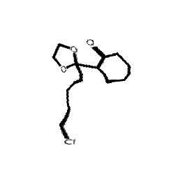 O=C1CCCCC1C1(CCCCCl)OCCO1